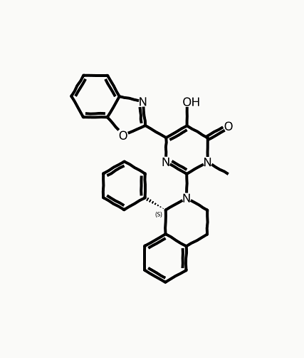 Cn1c(N2CCc3ccccc3[C@@H]2c2ccccc2)nc(-c2nc3ccccc3o2)c(O)c1=O